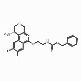 CN[C@@H]1COCc2nc(OCCNC(=O)OCc3ccccc3)c3cc(F)c(F)cc3c21